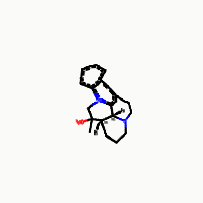 CC1(O)Cn2c3c(c4ccccc42)CCN2CCC[C@H]1[C@H]32